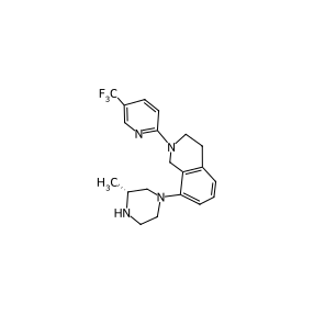 C[C@@H]1CN(c2cccc3c2CN(c2ccc(C(F)(F)F)cn2)CC3)CCN1